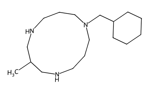 CC1CNCCCN(CC2CCCCC2)CCCNC1